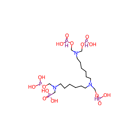 O=[PH](O)OCN(CCCCCCN(CO[PH](=O)O)CO[PH](=O)O)CCCCCCN(COP(O)O)CP(=O)(O)O